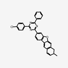 CC1C=Cc2cc3c(cc2C1)oc1cc(-c2nc(-c4ccccc4)nc(-c4ccc(Cl)cc4)n2)ccc13